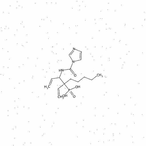 C=CC(NC(=O)n1ccnc1)C(C=C)(CCCCC)P(=O)(O)O